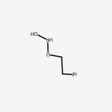 CC(C)CCONO